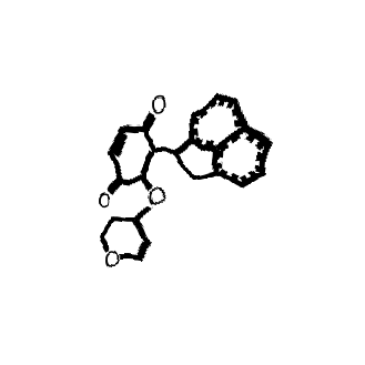 O=C1C=CC(=O)C(C2Cc3cccc4cccc2c34)=C1OC1CCOCC1